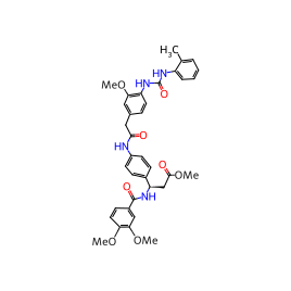 COC(=O)C[C@@H](NC(=O)c1ccc(OC)c(OC)c1)c1ccc(NC(=O)Cc2ccc(NC(=O)Nc3ccccc3C)c(OC)c2)cc1